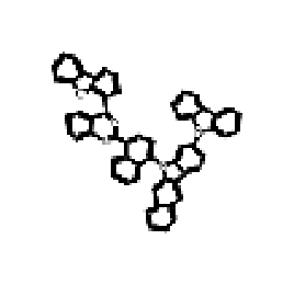 c1ccc2cc3c(cc2c1)c1ccc(-n2c4ccccc4c4ccccc42)cc1n3-c1ccc(-c2nc(-c3cccc4c3oc3ccccc34)c3ccccc3n2)c2ccccc12